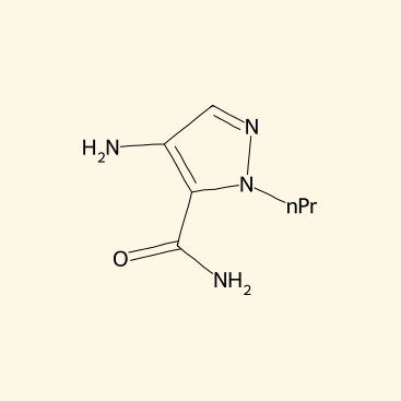 CCCn1ncc(N)c1C(N)=O